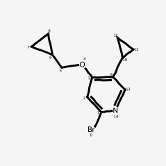 Brc1cc(OCC2CC2)c(C2CC2)cn1